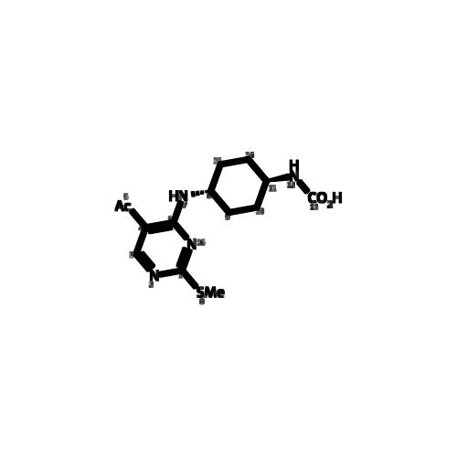 CSc1ncc(C(C)=O)c(N[C@H]2CC[C@H](NC(=O)O)CC2)n1